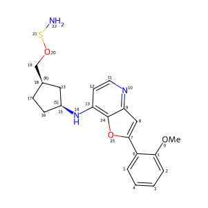 COc1ccccc1-c1cc2nccc(N[C@H]3CC[C@@H](COSN)C3)c2o1